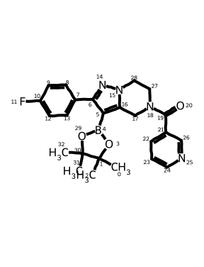 CC1(C)OB(c2c(-c3ccc(F)cc3)nn3c2CN(C(=O)c2cccnc2)CC3)OC1(C)C